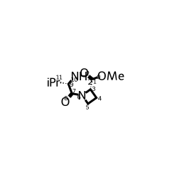 COC(=O)[C@@H]1CCN1C(=O)[C@@H](N)C(C)C